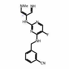 CN/C=C(\C=N)Nc1ncc(F)c(NCc2cccc(C#N)c2)n1